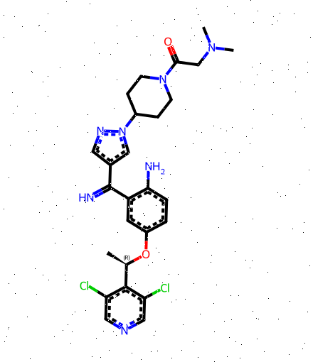 C[C@@H](Oc1ccc(N)c(C(=N)c2cnn(C3CCN(C(=O)CN(C)C)CC3)c2)c1)c1c(Cl)cncc1Cl